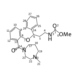 COC(=O)NCCC(Oc1ccccc1C(=O)N1CCCN(C)CC1)c1ccccc1